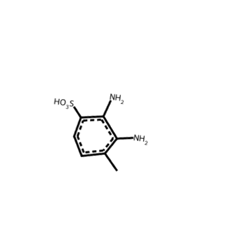 Cc1ccc(S(=O)(=O)O)c(N)c1N